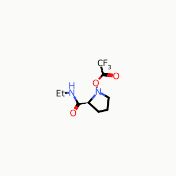 CCNC(=O)[C@@H]1CCCN1OC(=O)C(F)(F)F